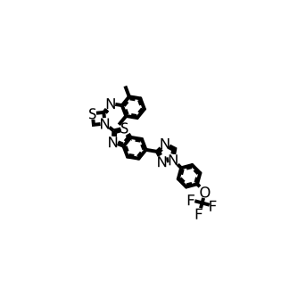 Cc1cccc(C)c1/N=C1/SCN1c1nc2ccc(-c3ncn(-c4ccc(OC(F)(F)F)cc4)n3)cc2s1